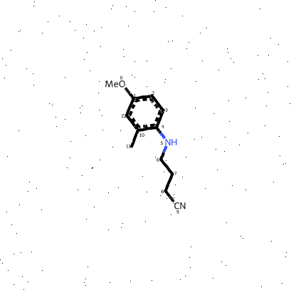 COc1ccc(NCCCC#N)c(C)c1